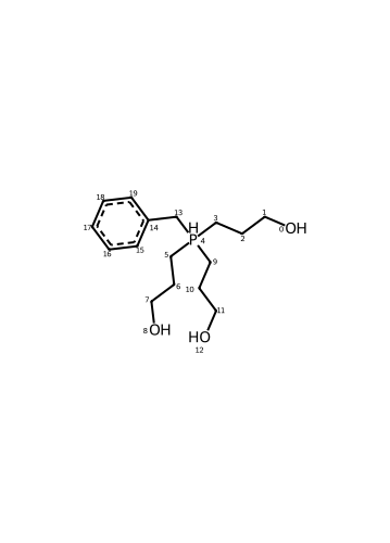 OCCC[PH](CCCO)(CCCO)Cc1ccccc1